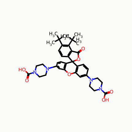 CC(C)(C)c1ccc2c(c1C(C)(C)C)C(=O)OC21c2ccc(N3CCN(C(=O)O)CC3)cc2Oc2cc(N3CCN(C(=O)O)CC3)ccc21